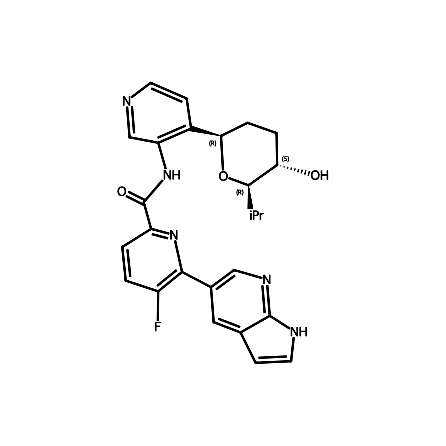 CC(C)[C@H]1O[C@@H](c2ccncc2NC(=O)c2ccc(F)c(-c3cnc4[nH]ccc4c3)n2)CC[C@@H]1O